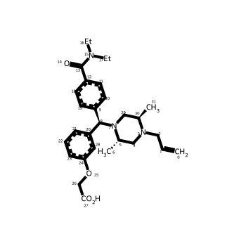 C=CCN1C[C@H](C)N([C@H](c2ccc(C(=O)N(CC)CC)cc2)c2cccc(OCC(=O)O)c2)C[C@H]1C